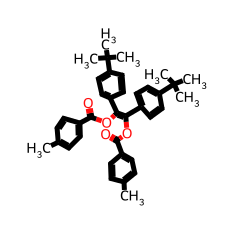 Cc1ccc(C(=O)OC(=C(OC(=O)c2ccc(C)cc2)c2ccc(C(C)(C)C)cc2)c2ccc(C(C)(C)C)cc2)cc1